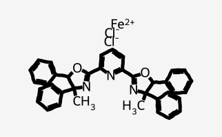 CC1(c2ccccc2)N=C(c2cccc(C3=NC(C)(c4ccccc4)C(c4ccccc4)O3)n2)OC1c1ccccc1.[Cl-].[Cl-].[Fe+2]